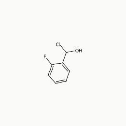 OC(Cl)c1ccccc1F